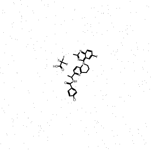 Cc1nc(N2CCCc3nc(C(C)NC(=O)c4ccc(Cl)cc4)ccc32)c2cc(F)ccc2n1.O=C(O)C(F)(F)F